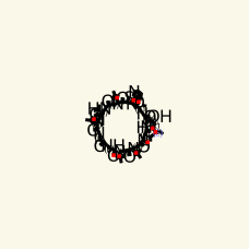 C/C=C/C[C@@H](C)[C@@H](O)[C@H]1C(=O)N[C@@H](CC)C(=O)N(C)C(Sc2ccccn2)C(=O)N(C)[C@@H](CC(C)C)C(=O)N[C@@H](C(C)C)C(=O)N(C)[C@@H](CC(C)C)C(=O)N[C@@H](C)C(=O)N[C@H](C)C(=O)N(C)[C@@H](CC(C)C)C(=O)N(C)[C@@H](CC(C)C)C(=O)N(C)[C@@H](C(C)C)C(=O)N1C